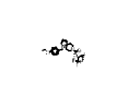 CCOc1ccc(CN2CCCC23CCN(C(=O)OC(C(F)(F)F)C(F)(F)F)CC3)cc1